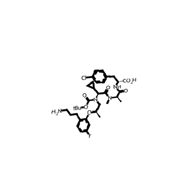 C[C@H](CN(C(=O)OC(C)(C)C)[C@H](C(=O)N(C)[C@H](C)C(=O)N[C@H](Cc1ccc(Cl)cc1)C(=O)O)C1CC1)Oc1cc(F)ccc1CCCN